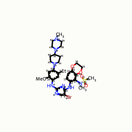 CCc1cc(Nc2ncc(Br)c(Nc3ccc4c(c3N(C)S(C)(=O)=O)OCCO4)n2)c(OC)cc1N1CCC(N2CCN(C)CC2)CC1